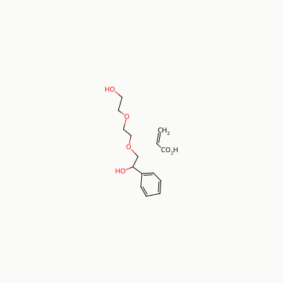 C=CC(=O)O.OCCOCCOCC(O)c1ccccc1